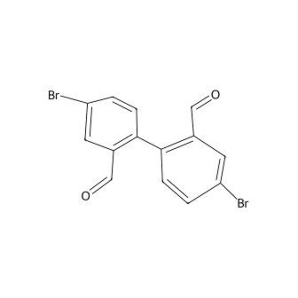 O=Cc1cc(Br)ccc1-c1ccc(Br)cc1C=O